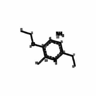 CCOc1ccc(CC)nc1C.N